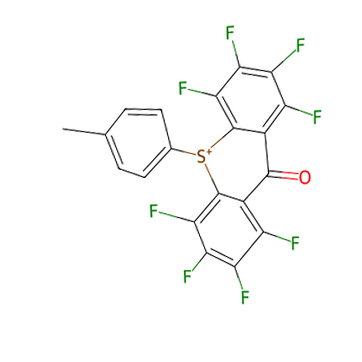 Cc1ccc(-[s+]2c3c(F)c(F)c(F)c(F)c3c(=O)c3c(F)c(F)c(F)c(F)c32)cc1